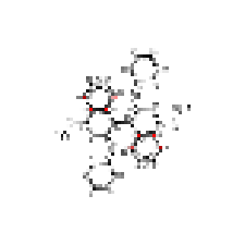 CCOc1cc(P(c2ccccc2)c2ccccc2)c(-c2c(P(c3ccccc3)c3ccccc3)cc(OCC)c3c2OCO3)c2c1OCO2